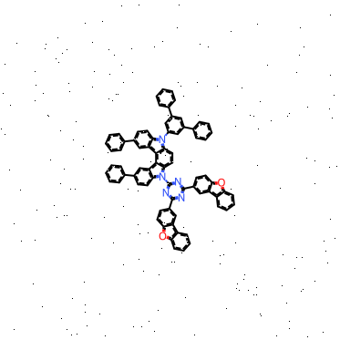 c1ccc(-c2cc(-c3ccccc3)cc(-n3c4ccc(-c5ccccc5)cc4c4c5c6cc(-c7ccccc7)ccc6n(-c6nc(-c7ccc8oc9ccccc9c8c7)nc(-c7ccc8oc9ccccc9c8c7)n6)c5ccc43)c2)cc1